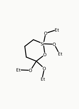 CCOC1(OCC)CCC[Si](OCC)(OCC)O1